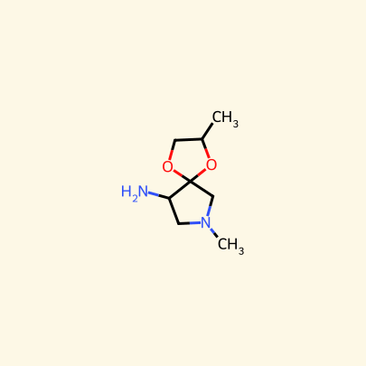 CC1COC2(CN(C)CC2N)O1